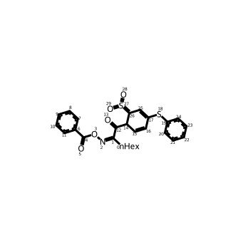 CCCCCCC(=NOC(=O)c1ccccc1)C(=O)C1C=CC(Sc2ccccc2)=CC1=S(=O)=O